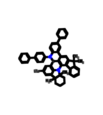 CC(C)(C)c1cc2c3c(c1)C1(C)CCCCC1(C)N3c1c3c(cc4c1-c1ccccc1C4(C)C)-c1cc(-c4ccccc4)ccc1N(c1ccc(-c4ccccc4)cc1)B23